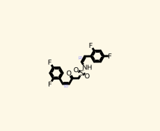 O=C(/C=C\c1ccc(F)cc1F)CS(=O)(=O)N/C=C\c1ccc(F)cc1F